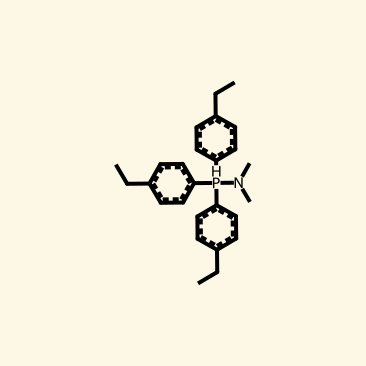 CCc1ccc([PH](c2ccc(CC)cc2)(c2ccc(CC)cc2)N(C)C)cc1